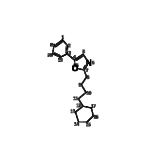 [c]1ccc(-c2cnc(CCCCC3CCCCC3)o2)cc1